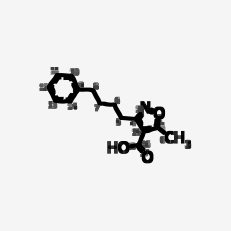 Cc1onc(CCCCc2ccccc2)c1C(=O)O